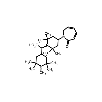 CN1C(C)(C)CC(C(C(=O)O)N2C(C)(C)CC(N3CC=CC=CC3=O)CC2(C)C)CC1(C)C